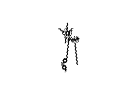 CCCCCCCCCCCCCC[C@H]1OC(C)(C)O[C@H]1[C@H](CO[C@H]1OC(CF)[C@@H](OCCCC)[C@H](OCCCC)C1OCCCC)NC(=O)CCCCCCCCCCc1ccc(Oc2ccc(F)cc2)cc1